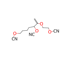 C=C(OCCOC#N)C(CCCCOC#N)OC#N